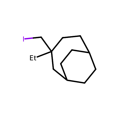 CCC1(CI)CCC2CCC(CC2)C1